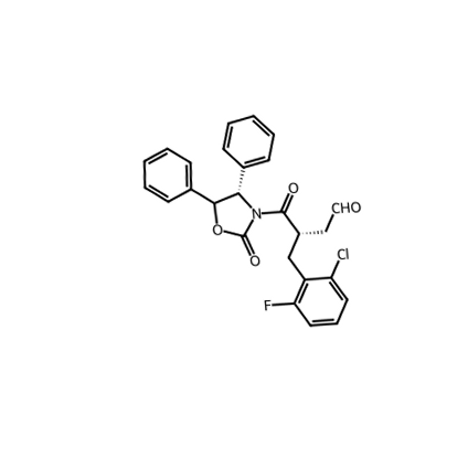 O=CC[C@H](Cc1c(F)cccc1Cl)C(=O)N1C(=O)OC(c2ccccc2)[C@@H]1c1ccccc1